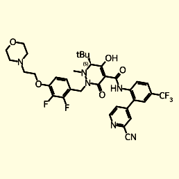 CN1[C@@H](C(C)(C)C)C(O)=C(C(=O)Nc2ccc(C(F)(F)F)cc2-c2ccnc(C#N)c2)C(=O)N1Cc1ccc(OCCN2CCOCC2)c(F)c1F